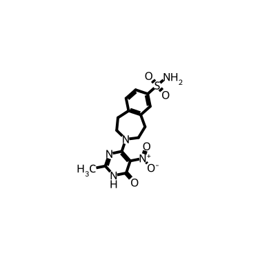 Cc1nc(N2CCc3ccc(S(N)(=O)=O)cc3CC2)c([N+](=O)[O-])c(=O)[nH]1